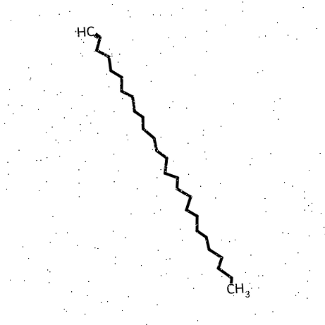 [CH]=CCCCCCCCCCCCCCCCCCCCCCCCCC